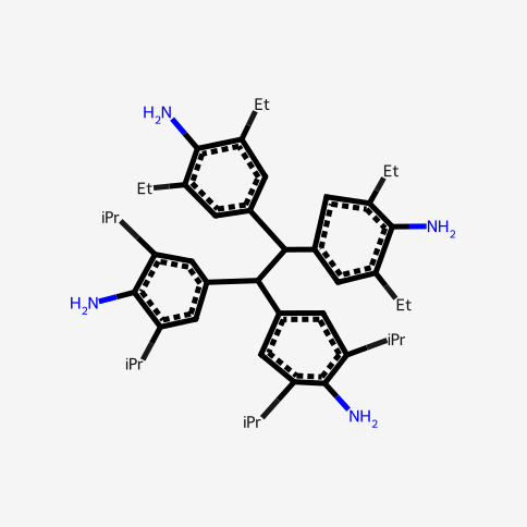 CCc1cc(C(c2cc(CC)c(N)c(CC)c2)C(c2cc(C(C)C)c(N)c(C(C)C)c2)c2cc(C(C)C)c(N)c(C(C)C)c2)cc(CC)c1N